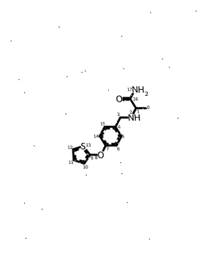 CC(NCc1ccc(Oc2cccs2)cc1)C(N)=O